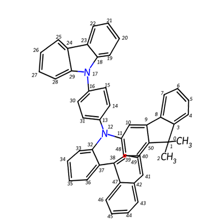 CC1(C)c2ccccc2-c2cc(N(c3ccc(-n4c5ccccc5c5ccccc54)cc3)c3ccccc3-c3cccc4ccccc34)ccc21